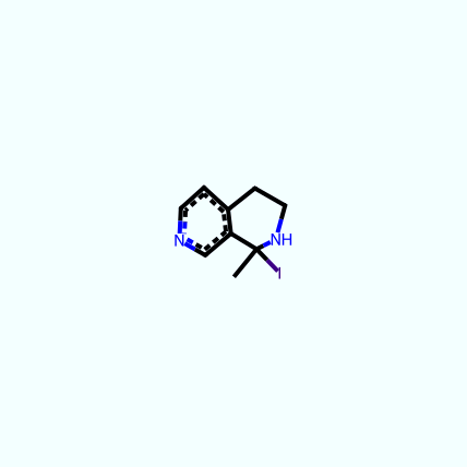 CC1(I)NCCc2ccncc21